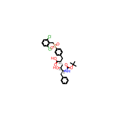 CC(C)(C)OC(=O)N[C@@H](Cc1ccccc1)[C@@H](O)C[C@@H](Cc1ccc(S(=O)(=O)Cc2c(Cl)cccc2Cl)cc1)C(=O)O